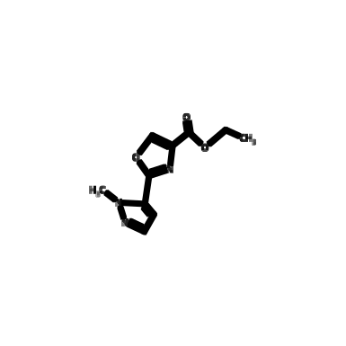 CCOC(=O)c1coc(-c2ccnn2C)n1